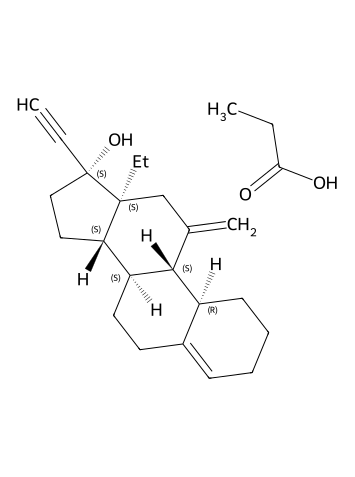 C#C[C@]1(O)CC[C@H]2[C@@H]3CCC4=CCCC[C@@H]4[C@H]3C(=C)C[C@@]21CC.CCC(=O)O